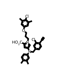 C#Cc1ccc(CN(c2ccc(C)c(C)c2)c2cc(C(=O)O)n(CCCOc3cc(C)c(Cl)c(C)c3)c2)cc1Cl